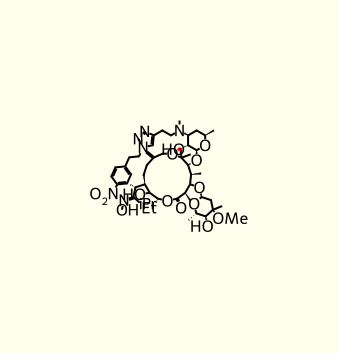 C=C1CC[C@H]([C@@H](C)/C(=N/O)C(C)C)[C@](C)(O)[C@@H](CC)OC(=O)[C@H](C)C(O[C@H]2C[C@@](C)(OC)[C@@H](O)[C@H](C)O2)[C@H](C)[C@@H](O[C@@H]2O[C@H](C)C[C@H](N(C)CCc3cn(CCc4ccc([N+](=O)[O-])cc4)nn3)[C@H]2O)C(C)(C)OC1